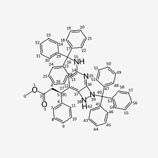 COC(=O)C[C@H](c1ccccc1)c1cc(NC(c2ccccc2)(c2ccccc2)c2ccccc2)nc2c1[nH]n2C(c1ccccc1)(c1ccccc1)c1ccccc1